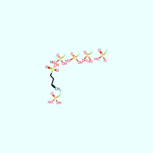 C=CCCS(=O)(=O)O.O=P(O)(O)F.O=P(O)(O)F.O=P(O)(O)F.O=P(O)(O)F.O=P([O-])(O)F.[Li+]